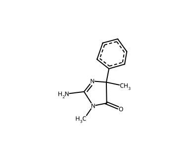 CN1C(=O)C(C)(c2ccccc2)N=C1N